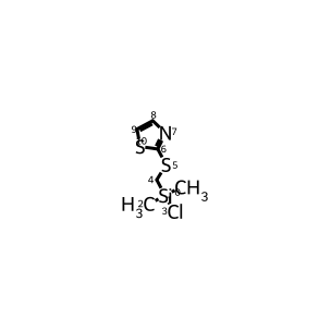 C[Si](C)(Cl)CSc1nccs1